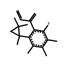 C=CC(=C)c1c(F)c(C)c(C)c(C)c1C1(C)CC1(C)C